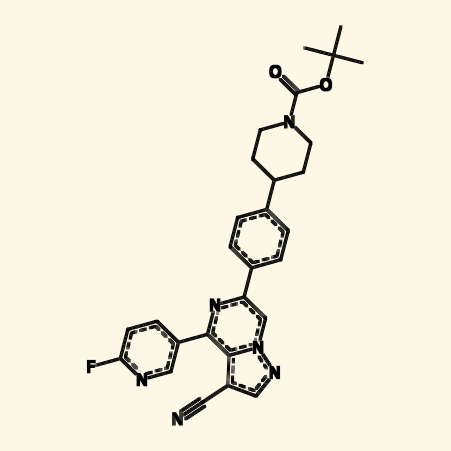 CC(C)(C)OC(=O)N1CCC(c2ccc(-c3cn4ncc(C#N)c4c(-c4ccc(F)nc4)n3)cc2)CC1